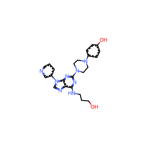 OCCCNc1nc(N2CCN(c3ccc(O)cc3)CC2)nc2c1ncn2-c1cccnc1